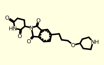 O=C1CCC(N2C(=O)c3ccc(CCCOC4CCNCC4)cc3C2=O)C(=O)N1